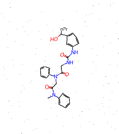 CCCC(O)c1cccc(NC(=O)NCC(=O)N(CC(=O)N(C)c2ccccc2)c2ccccc2)c1